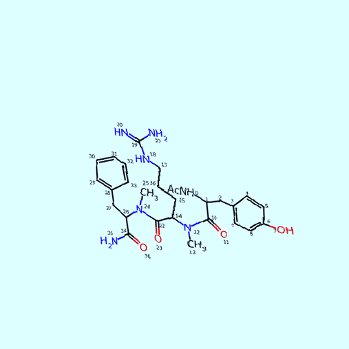 CC(=O)NC(Cc1ccc(O)cc1)C(=O)N(C)C(CCCNC(=N)N)C(=O)N(C)C(Cc1ccccc1)C(N)=O